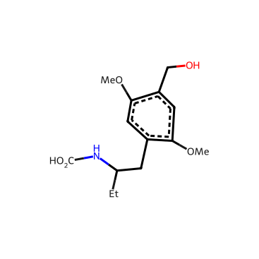 CCC(Cc1cc(OC)c(CO)cc1OC)NC(=O)O